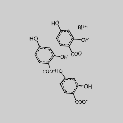 O=C([O-])c1ccc(O)cc1O.O=C([O-])c1ccc(O)cc1O.O=C([O-])c1ccc(O)cc1O.[Bi+3]